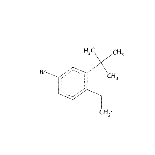 [CH2]Cc1ccc(Br)cc1C(C)(C)C